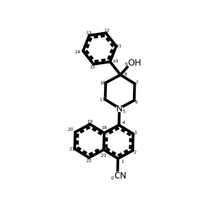 N#Cc1ccc(N2CCC(O)(c3ccccc3)CC2)c2ccccc12